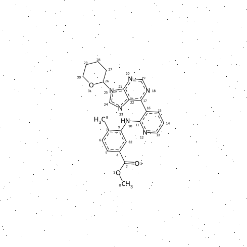 COC(=O)c1ccc(C)c(Nc2ncccc2-c2ncnc3c2ncn3C2CCCCO2)c1